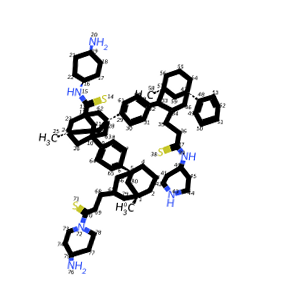 C[C@@]12CCC[C@@](c3ccc(C45CC6(C(=S)N[C@H]7CC[C@H](N)CC7)C[C@](C)(C4)C[C@@](c4ccc(C7C(CCC(=S)NC8CCNCC8)C[C@]8(c9ccccc9)CCC[C@@]7(C)C8)cc4)(C6)C5)cc3)(CC(CCC(=S)N3CCC(N)CC3)C1)C2